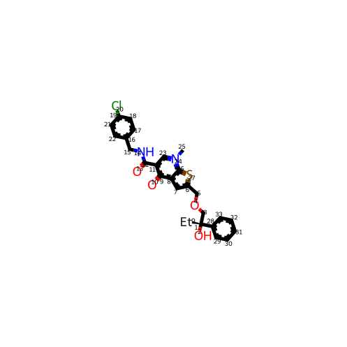 CC[C@@](O)(COCc1cc2c(=O)c(C(=O)NCc3ccc(Cl)cc3)cn(C)c2s1)c1ccccc1